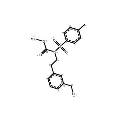 Cc1ccc(S(=O)(=O)N(CCc2cccc(CO)c2)C(=O)OC(C)(C)C)cc1